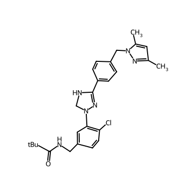 Cc1cc(C)n(Cc2ccc(C3=NN(c4cc(CNC(=O)C(C)(C)C)ccc4Cl)CN3)cc2)n1